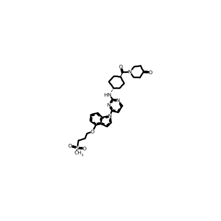 CS(=O)(=O)CCCOc1cccc2c1ccn2-c1ccnc(N[C@H]2CC[C@H](C(=O)N3CCC(=O)CC3)CC2)n1